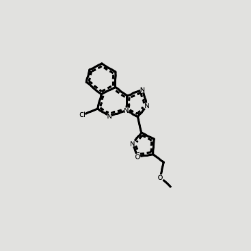 COCc1cc(-c2nnc3c4ccccc4c(Cl)nn23)no1